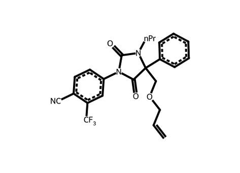 C=CCOCC1(c2ccccc2)C(=O)N(c2ccc(C#N)c(C(F)(F)F)c2)C(=O)N1CCC